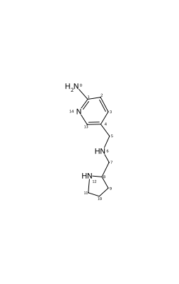 Nc1ccc(CNCC2CCCN2)cn1